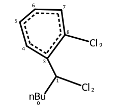 CCCCC(Cl)c1ccccc1Cl